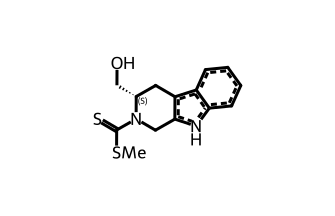 CSC(=S)N1Cc2[nH]c3ccccc3c2C[C@H]1CO